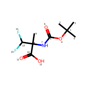 CC(C)(C)OC(=O)NC(C)(C(=O)O)C(F)F